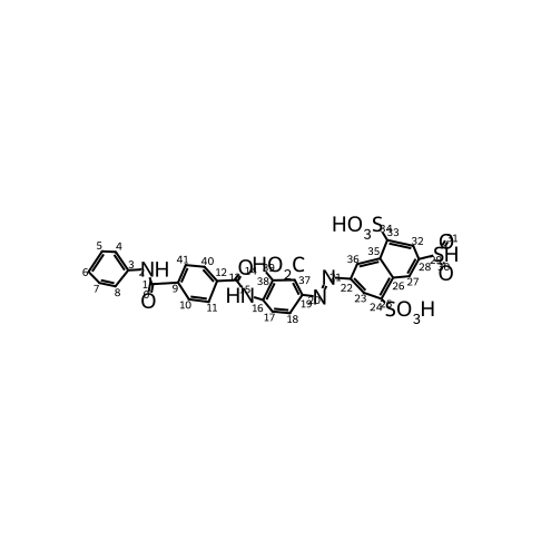 O=C(Nc1ccccc1)c1ccc(C(=O)Nc2ccc(/N=N/c3cc(S(=O)(=O)O)c4cc([SH](=O)=O)cc(S(=O)(=O)O)c4c3)cc2C(=O)O)cc1